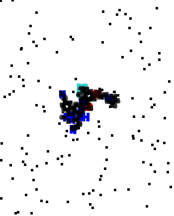 Cn1cnnc1-c1ccc(C#N)cc1-c1cc(NCCC#N)nc(N2Cc3c(cc(OCCN4CCCC4)cc3C(F)(F)F)C2=O)c1